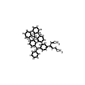 C=C/C=C(\C=C)c1ccc(N(c2ccccc2)c2ccc3c(c2)C2(c4ccccc4-c4ccccc42)c2ccccc2-3)cc1